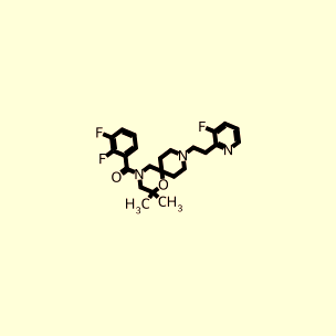 CC1(C)CN(C(=O)c2cccc(F)c2F)CC2(CCN(CCc3ncccc3F)CC2)O1